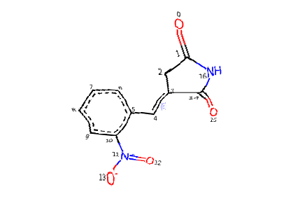 O=C1C/C(=C\c2ccccc2[N+](=O)[O-])C(=O)N1